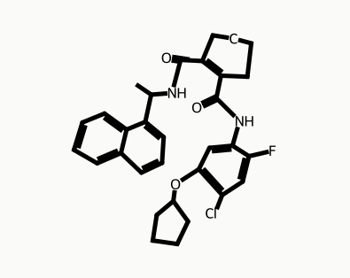 CC(NC(=O)C1=C(C(=O)Nc2cc(OC3CCCC3)c(Cl)cc2F)CCCC1)c1cccc2ccccc12